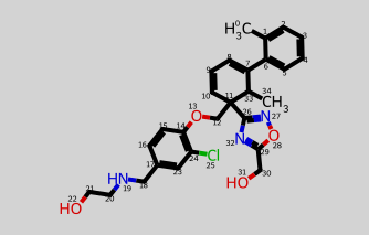 Cc1ccccc1C1=CC=CC(COc2ccc(CNCCO)cc2Cl)(c2noc(CO)n2)C1C